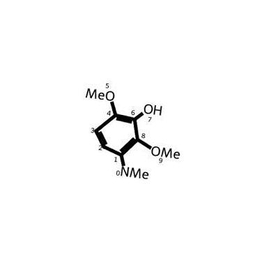 CNc1ccc(OC)c(O)c1OC